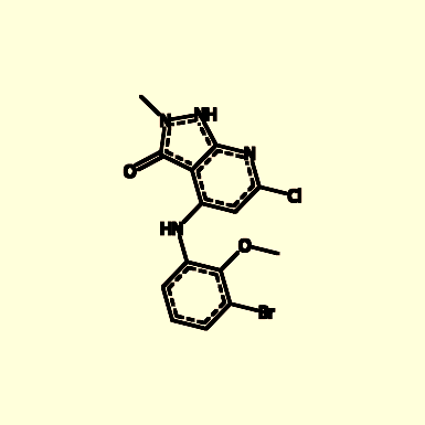 COc1c(Br)cccc1Nc1cc(Cl)nc2[nH]n(C)c(=O)c12